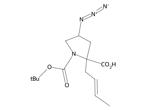 CC=CCC1(C(=O)O)CC(N=[N+]=[N-])CN1C(=O)OC(C)(C)C